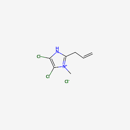 C=CCc1[nH]c(Cl)c(Cl)[n+]1C.[Cl-]